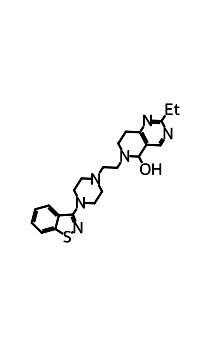 CCc1ncc2c(n1)CCN(CCN1CCN(c3nsc4ccccc34)CC1)C2O